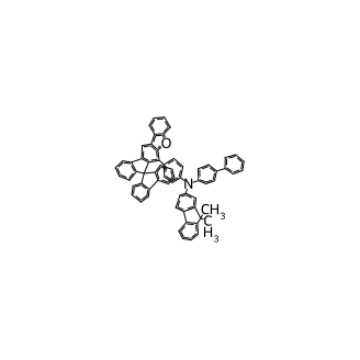 CC1(C)c2ccccc2-c2ccc(N(c3ccc(-c4ccccc4)cc3)c3ccc(-c4c5c(cc6c4oc4ccccc46)-c4ccccc4C54c5ccccc5-c5ccccc54)cc3)cc21